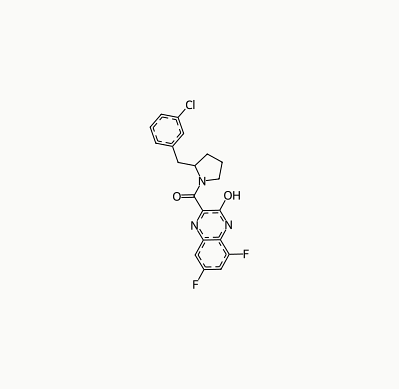 O=C(c1nc2cc(F)cc(F)c2nc1O)N1CCCC1Cc1cccc(Cl)c1